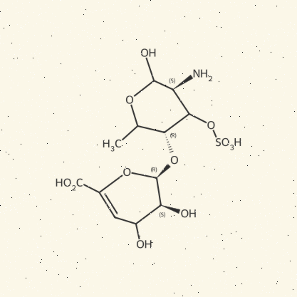 CC1OC(O)[C@@H](N)C(OS(=O)(=O)O)[C@@H]1O[C@@H]1OC(C(=O)O)=CC(O)[C@@H]1O